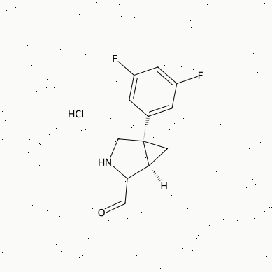 Cl.O=CC1NC[C@@]2(c3cc(F)cc(F)c3)C[C@@H]12